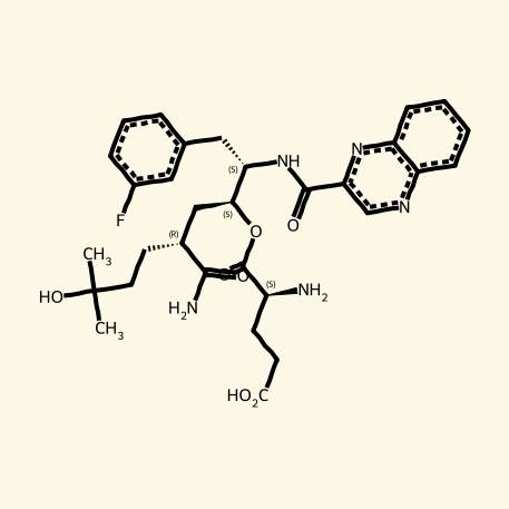 CC(C)(O)CC[C@H](C[C@H](OC(=O)[C@@H](N)CCC(=O)O)[C@H](Cc1cccc(F)c1)NC(=O)c1cnc2ccccc2n1)C(N)=O